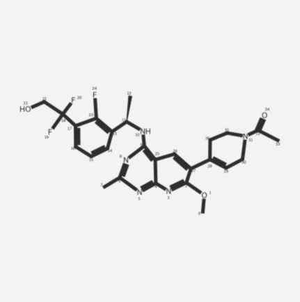 COc1nc2nc(C)nc(N[C@H](C)c3cccc(C(F)(F)CO)c3F)c2cc1C1=CCN(C(C)=O)CC1